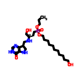 CCCOP(=O)(CC[C@@H](CO)NCC1CNc2c1nc[nH]c2=O)OCCCCCCCCCCCO